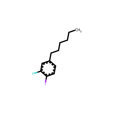 CCCCCCc1ccc(I)c(F)c1